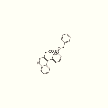 CCOC(=O)Cc1cnc2ccccc2c1-c1cccc(OCc2ccccc2)c1